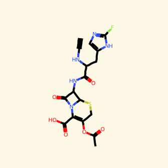 C#CNC(Cc1cnc(F)[nH]1)C(=O)NC1C(=O)N2C(C(=O)O)=C(OC(C)=O)CSC12